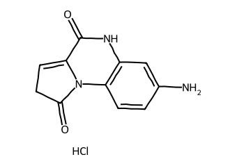 Cl.Nc1ccc2c(c1)NC(=O)C1=CCC(=O)N12